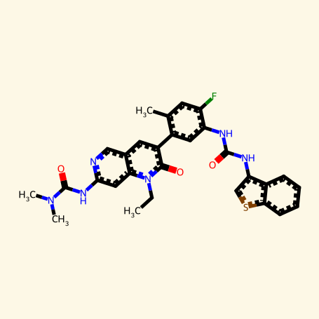 CCn1c(=O)c(-c2cc(NC(=O)Nc3csc4ccccc34)c(F)cc2C)cc2cnc(NC(=O)N(C)C)cc21